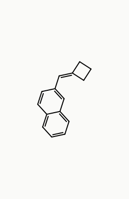 C(=C1CCC1)c1ccc2ccccc2c1